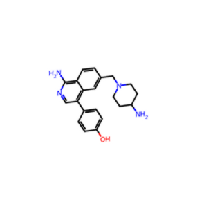 Nc1ncc(-c2ccc(O)cc2)c2cc(CN3CCC(N)CC3)ccc12